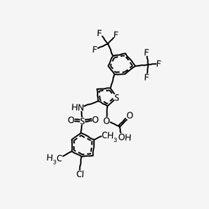 Cc1cc(S(=O)(=O)Nc2cc(-c3cc(C(F)(F)F)cc(C(F)(F)F)c3)sc2OC(=O)O)c(C)cc1Cl